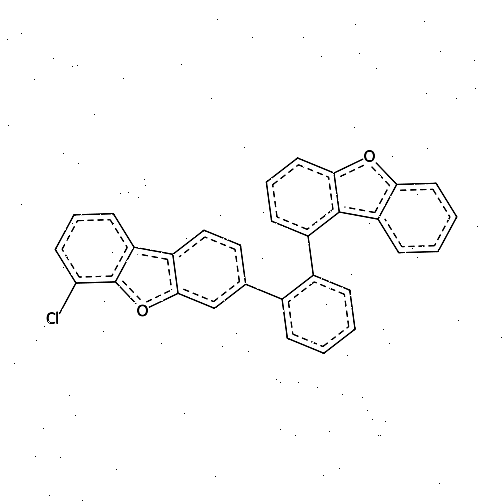 Clc1cccc2c1oc1cc(-c3ccccc3-c3cccc4oc5ccccc5c34)ccc12